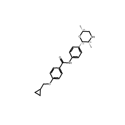 C[C@@H]1CN[C@H](C)[C@H](c2ccc(NC(=O)c3ccc(OCC4CC4)cc3)cc2)O1